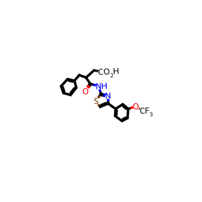 O=C(O)CC(Cc1ccccc1)C(=O)Nc1nc(-c2cccc(OC(F)(F)F)c2)cs1